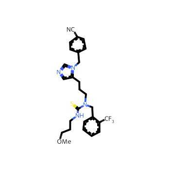 COCCCNC(=S)N(CCCc1cncn1Cc1ccc(C#N)cc1)Cc1ccccc1C(F)(F)F